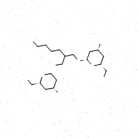 CCCCCCCCCCCCCCC(CO[C@@H]1O[C@H](CO)[C@@H](O)[C@H](O)[C@H]1O)CO[C@H]1O[C@H](CO)[C@@H](O)[C@H](O)[C@H]1O